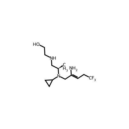 C[C@H](CNCCO)N(CC(N)=CCC(F)(F)F)C1CC1